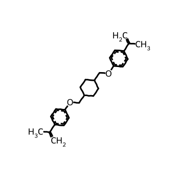 C=C(C)c1ccc(OCC2CCC(COc3ccc(C(=C)C)cc3)CC2)cc1